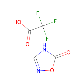 O=C(O)C(F)(F)F.O=c1[nH]cno1